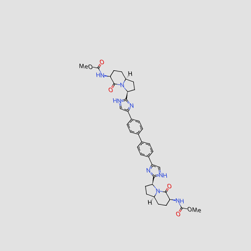 COC(=O)N[C@H]1CC[C@H]2CC[C@@H](c3nc(-c4ccc(-c5ccc(-c6c[nH]c([C@@H]7CC[C@@H]8CC[C@H](NC(=O)OC)C(=O)N87)n6)cc5)cc4)c[nH]3)N2C1=O